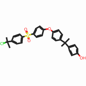 CC(C)(Cl)c1ccc(S(=O)(=O)c2ccc(Oc3ccc(C(C)(C)c4ccc(O)cc4)cc3)cc2)cc1